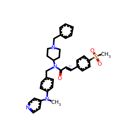 CN(c1ccncc1)c1ccc(CN(C(=O)/C=C/c2ccc(S(C)(=O)=O)cc2)C2CCN(Cc3ccccc3)CC2)cc1